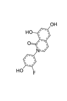 O=c1c2c(O)cc(O)cc2ccn1-c1ccc(O)c(F)c1